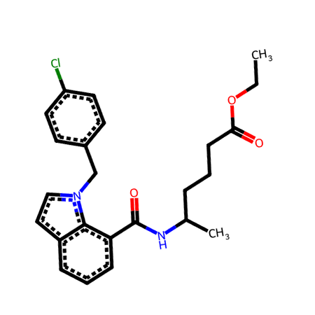 CCOC(=O)CCCC(C)NC(=O)c1cccc2ccn(Cc3ccc(Cl)cc3)c12